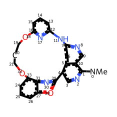 CNc1ncc2c3cc(ncc13)Nc1cccc(n1)OCCCOc1cccc3oc-2nc13